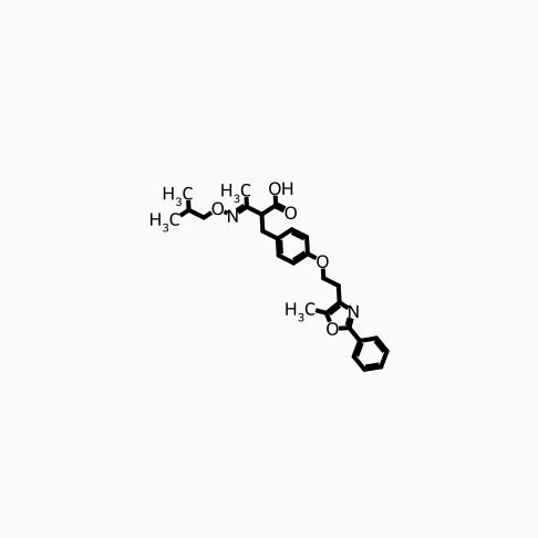 CC(=NOCC(C)C)C(Cc1ccc(OCCc2nc(-c3ccccc3)oc2C)cc1)C(=O)O